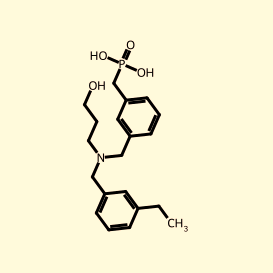 CCc1cccc(CN(CCCO)Cc2cccc(CP(=O)(O)O)c2)c1